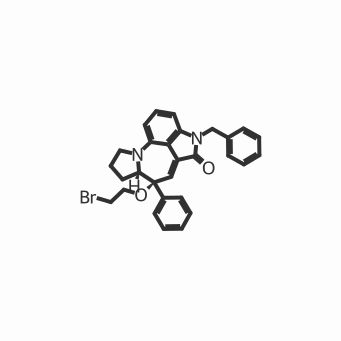 O=C1C2=C[C@](OCCBr)(c3ccccc3)[C@@H]3CCCN3c3cccc(c32)N1Cc1ccccc1